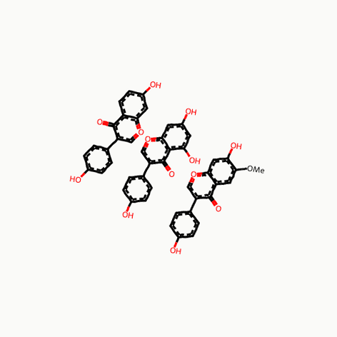 COc1cc2c(=O)c(-c3ccc(O)cc3)coc2cc1O.O=c1c(-c2ccc(O)cc2)coc2cc(O)cc(O)c12.O=c1c(-c2ccc(O)cc2)coc2cc(O)ccc12